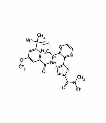 CCN(C)C(=O)c1cnc(-c2nccnc2[C@H](C)NC(=O)c2cc(OC(F)(F)F)cc(C(C)(C)C#N)c2)s1